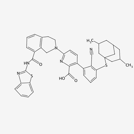 CC1CC2CC(C)CC(Sc3cccc(-c4ccc(N5CCc6cccc(C(=O)Nc7nc8ccccc8s7)c6C5)nc4C(=O)O)c3C#N)(C1)C2